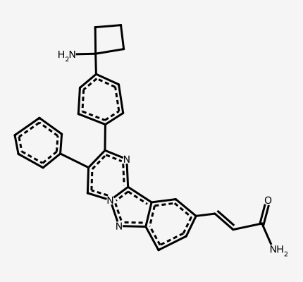 NC(=O)C=Cc1ccc2nn3cc(-c4ccccc4)c(-c4ccc(C5(N)CCC5)cc4)nc3c2c1